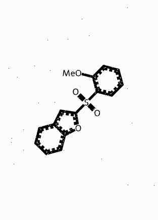 COc1ccccc1S(=O)(=O)c1cc2ccccc2o1